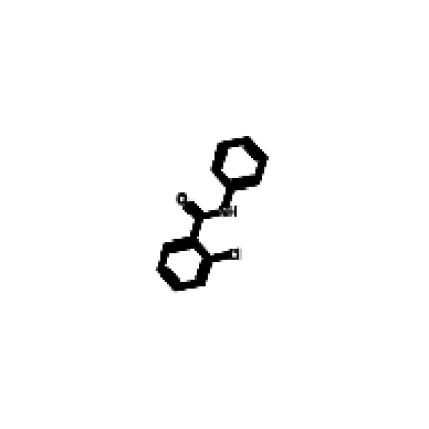 O=C(Nc1c[c]ccc1)c1ccccc1Cl